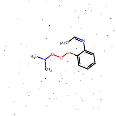 CO/C=N\c1ccccc1SOON(C)C